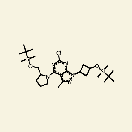 Cc1nn(C2CC(O[Si](C)(C)C(C)(C)C)C2)c2nc(Cl)nc(N3CCC[C@H]3CO[Si](C)(C)C(C)(C)C)c12